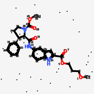 CCOCCCOC(=O)c1cc2cc(NC(=O)[C@H]3[C@H](c4ccccc4)CCN3C(=O)OC(C)(C)C)ccc2[nH]1